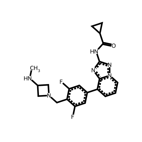 CNC1CN(Cc2c(F)cc(-c3cccn4nc(NC(=O)C5CC5)nc34)cc2F)C1